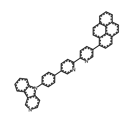 c1cc2ccc3ccc(-c4ccc(-c5ccc(-c6ccc(-n7c8ccccc8c8cnccc87)cc6)cn5)nc4)c4ccc(c1)c2c34